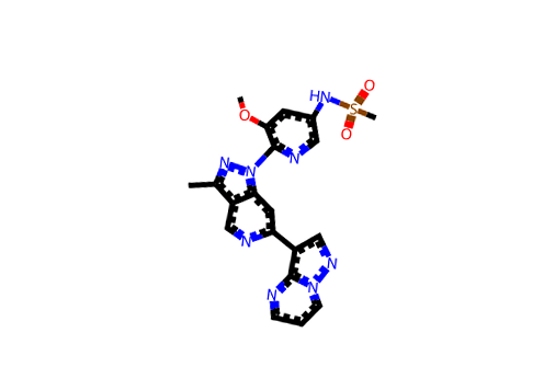 COc1cc(NS(C)(=O)=O)cnc1-n1nc(C)c2cnc(-c3cnn4cccnc34)cc21